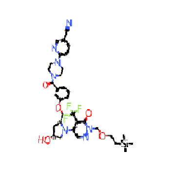 C[Si](C)(C)CCOCn1ncc(N2C[C@@H](O)C[C@H]2COc2cccc(C(=O)N3CCN(c4ccc(C#N)cn4)CC3)c2)c(C(F)(F)F)c1=O